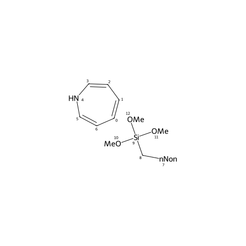 C1=CC=CNC=C1.CCCCCCCCCC[Si](OC)(OC)OC